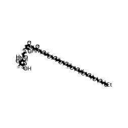 CCOCCOCCOCCOCCOCCOCCOCCOCCOCCOCCOCCOCCNC(=O)CCN1C(=O)CC(SCCC(=O)N[C@@H]2[C@@H](O)[C@H](C)[C@@H](CO)O[C@H]2C)C1=O